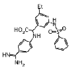 CCc1cc(NS(=O)(=O)c2ccccc2)cc(C(Nc2ccc(C(=N)N)cc2)C(=O)O)c1